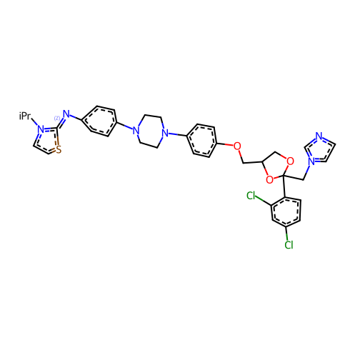 CC(C)n1ccs/c1=N\c1ccc(N2CCN(c3ccc(OCC4COC(Cn5ccnc5)(c5ccc(Cl)cc5Cl)O4)cc3)CC2)cc1